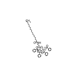 CCCCCCCCCCCCCCCCCC(=O)NCCO[C@@H]1O[C@H](COC(=O)c2ccccc2)[C@H](OC(=O)c2ccccc2)[C@H](OC(=O)c2ccccc2)[C@H]1OC(=O)c1ccccc1